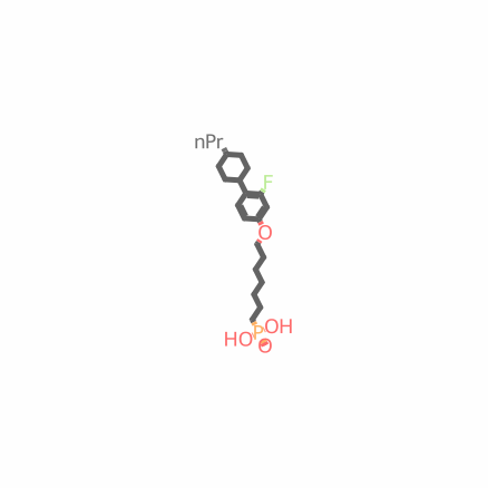 CCCC1CCC(c2ccc(OCCCCCCCP(=O)(O)O)cc2F)CC1